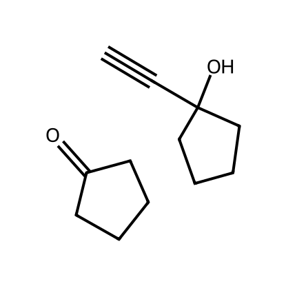 C#CC1(O)CCCC1.O=C1CCCC1